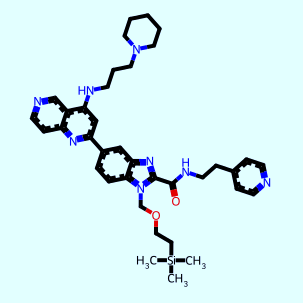 C[Si](C)(C)CCOCn1c(C(=O)NCCc2ccncc2)nc2cc(-c3cc(NCCCN4CCCCC4)c4cnccc4n3)ccc21